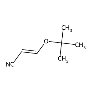 CC(C)(C)OC=CC#N